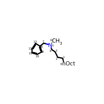 CCCCCCCCCCCCN(C)Cc1ccccc1